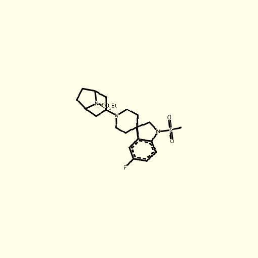 CCOC(=O)N1C2CCC1CC(N1CCC3(CC1)CN(S(C)(=O)=O)c1ccc(F)cc13)C2